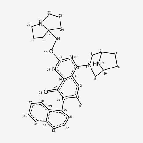 Cc1cc2c(N3CC4CCC(C3)N4)nc(OCC34CCCN3CCC4)nc2c(=O)n1-c1cccc2ccccc12